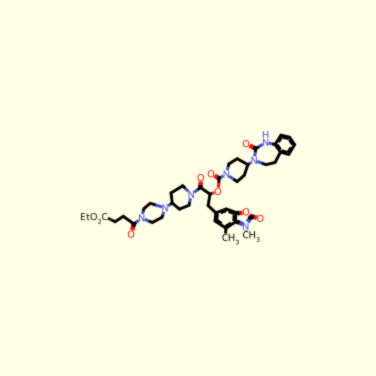 CCOC(=O)CCC(=O)N1CCN(C2CCN(C(=O)C(Cc3cc(C)c4c(c3)oc(=O)n4C)OC(=O)N3CCC(N4CCc5ccccc5NC4=O)CC3)CC2)CC1